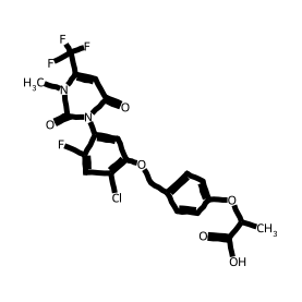 CC(Oc1ccc(COc2cc(-n3c(=O)cc(C(F)(F)F)n(C)c3=O)c(F)cc2Cl)cc1)C(=O)O